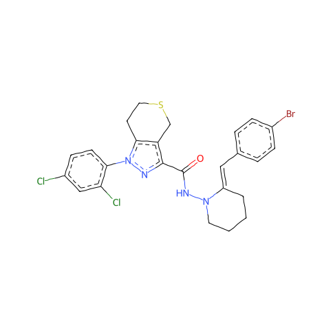 O=C(NN1CCCCC1=Cc1ccc(Br)cc1)c1nn(-c2ccc(Cl)cc2Cl)c2c1CSCC2